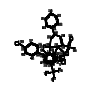 Cc1nc(C(F)(F)F)c(Cl)n1C1(CO)C(S(C)(=O)=O)=CC(c2ccccc2)=CC1(F)c1cnnn1-c1ccc(Cl)cc1